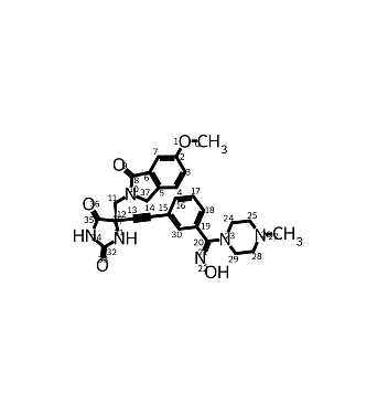 COc1ccc2c(c1)C(=O)N(C[C@@]1(C#Cc3cccc(C(=NO)N4CCN(C)CC4)c3)NC(=O)NC1=O)C2